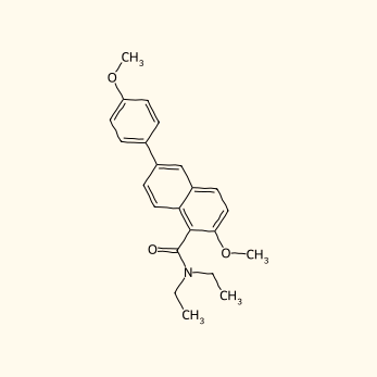 CCN(CC)C(=O)c1c(OC)ccc2cc(-c3ccc(OC)cc3)ccc12